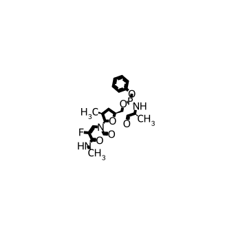 CNC(=O)/C(F)=C\N(C=O)[C@@H]1O[C@H](COP(N[C@H](C)C=O)Oc2ccccc2)C[C@@H]1C